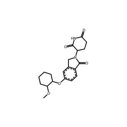 COC1CCCCC1Oc1ccc2c(c1)CN(C1CCC(=O)NC1=O)C2=O